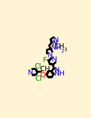 C[C@@H](Oc1ccc2[nH]nc(-c3cnc(N4CC[C@@](N)(Cc5ccnn5C)C4)c(F)c3)c2c1)c1c(Cl)cncc1Cl